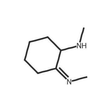 C/N=C1/CCCCC1NC